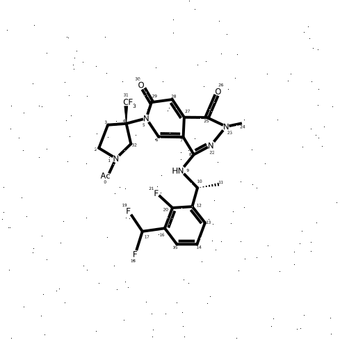 CC(=O)N1CC[C@@](n2cc3c(N[C@H](C)c4cccc(C(F)F)c4F)nn(C)c(=O)c3cc2=O)(C(F)(F)F)C1